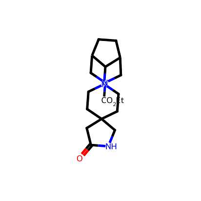 CCOC(=O)N1CC2CCC(C1)C2N1CCC2(CC1)CNC(=O)C2